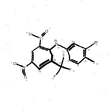 O=[N+]([O-])c1cc([N+](=O)[O-])c(Nc2ccc(I)c(Br)c2)c(C(F)(F)F)c1